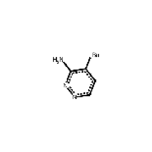 CC(C)(C)c1ccnnc1N